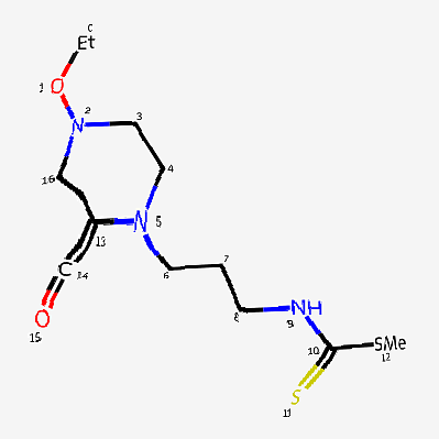 CCON1CCN(CCCNC(=S)SC)C(=C=O)C1